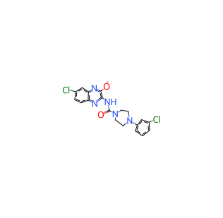 COc1nc2cc(Cl)ccc2nc1NC(=O)N1CCN(c2cccc(Cl)c2)CC1